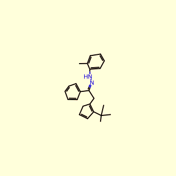 Cc1ccccc1NN=C(CC1=C(C(C)(C)C)C=CC1)c1ccccc1